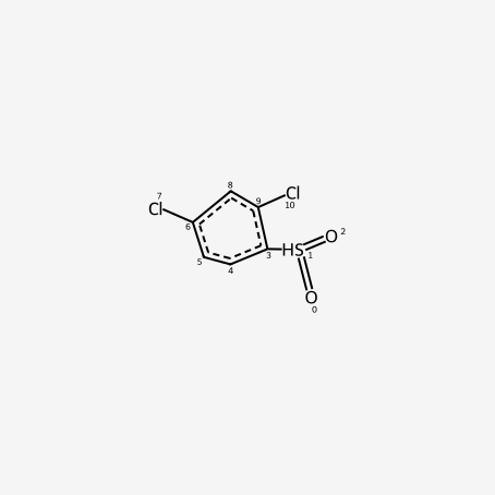 O=[SH](=O)c1ccc(Cl)cc1Cl